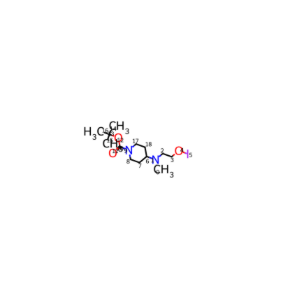 CN(CCOI)C1CCN(C(=O)OC(C)(C)C)CC1